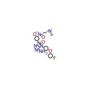 CN(CC=CC(=O)N1CCOc2ccc(-n3c(=O)n(-c4ccc(Oc5cccc(F)c5)cc4)c4c(N)ncnc43)cc21)C1CC1